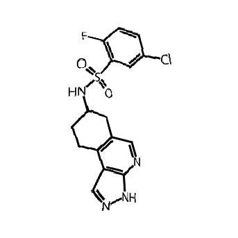 O=S(=O)(NC1CCc2c(cnc3[nH]ncc23)C1)c1cc(Cl)ccc1F